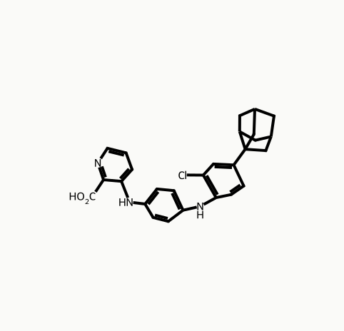 O=C(O)c1ncccc1Nc1ccc(Nc2ccc(C34CC5CC(CC3C5)C4)cc2Cl)cc1